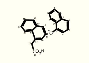 CC(=O)Oc1cccc2ccccc12.O=C(O)Cc1cccc2ccccc12